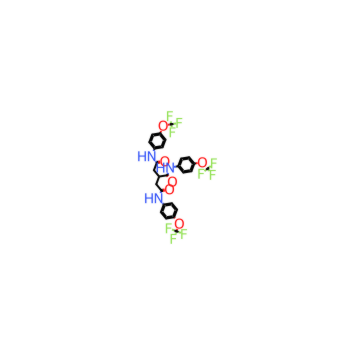 O=C(CC(CC(=O)Nc1ccc(OC(F)(F)F)cc1)C(=O)Nc1ccc(OC(F)(F)F)cc1)Nc1ccc(OC(F)(F)F)cc1